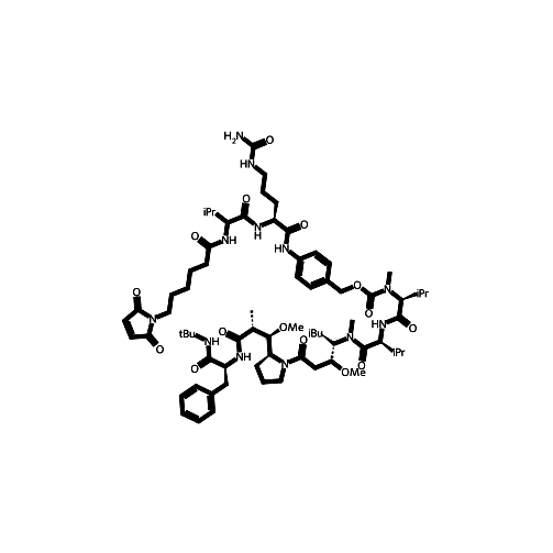 CC[C@H](C)[C@@H](C(CC(=O)N1CCC[C@H]1[C@H](OC)[C@@H](C)C(=O)N[C@@H](Cc1ccccc1)C(=O)NC(C)(C)C)OC)N(C)C(=O)[C@@H](NC(=O)[C@H](C(C)C)N(C)C(=O)OCc1ccc(NC(=O)[C@H](CCCNC(N)=O)NC(=O)C(NC(=O)CCCCCN2C(=O)C=CC2=O)C(C)C)cc1)C(C)C